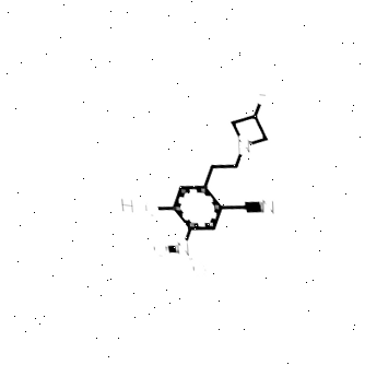 Cc1cc(CCN2CC(F)C2)c(C#N)cc1[N+](=O)[O-]